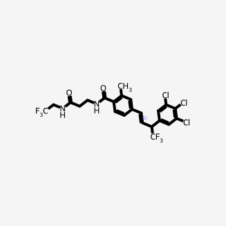 Cc1cc(/C=C/C(c2cc(Cl)c(Cl)c(Cl)c2)C(F)(F)F)ccc1C(=O)NCCC(=O)NCC(F)(F)F